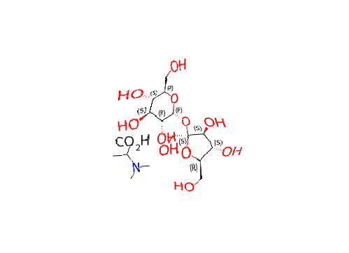 CC(C(=O)O)N(C)C.OC[C@H]1O[C@@](CO)(O[C@H]2O[C@H](CO)[C@@H](O)[C@H](O)[C@H]2O)[C@@H](O)[C@@H]1O